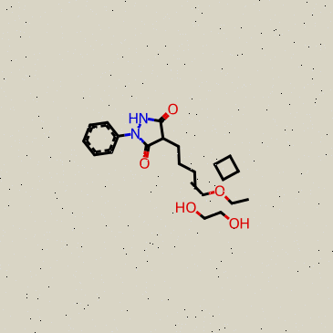 C1CCC1.CCCCC1C(=O)NN(c2ccccc2)C1=O.CCOCC.OCCO